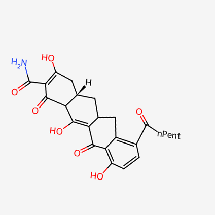 CCCCCC(=O)c1ccc(O)c2c1CC1C[C@H]3CC(O)=C(C(N)=O)C(=O)C3C(O)=C1C2=O